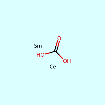 O=C(O)O.[Ce].[Sm]